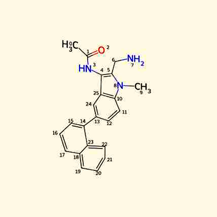 CC(=O)Nc1c(CN)n(C)c2ccc(-c3cccc4ccccc34)cc12